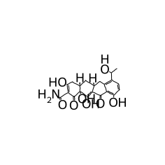 CC(O)c1ccc(O)c2c1C[C@H]1C[C@H]3CC(O)=C(C(N)=O)C(=O)[C@@]3(O)C(O)=C1C2=O